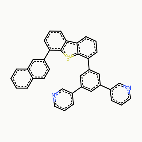 c1cncc(-c2cc(-c3cccnc3)cc(-c3cccc4c3sc3c(-c5ccc6ccccc6c5)cccc34)c2)c1